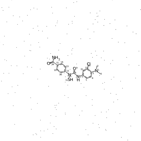 CN(C)c1ccc(NC(=O)N(S)c2ccc(C(N)=O)cc2)cc1Cl